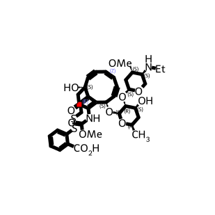 CCN[C@H]1CO[C@@H](O[C@H]2[C@H](O[C@H]3C#C/C=C\C#C[C@]4(O)CC(=O)C(NC(=O)OC)=C3/C4=C\CSSc3ccccc3C(=O)O)O[C@H](C)C[C@@H]2O)C[C@@H]1OC